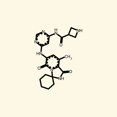 Cc1cc(Nc2cc(NC(=O)C3CNC3)ncn2)c(=O)n2c1C(=O)NC21CCCCC1